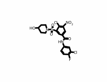 O=C(Nc1ccc(F)c(Cl)c1)c1cc([N+](=O)[O-])c(Cl)c(S(=O)(=O)N2CCC(O)CC2)c1